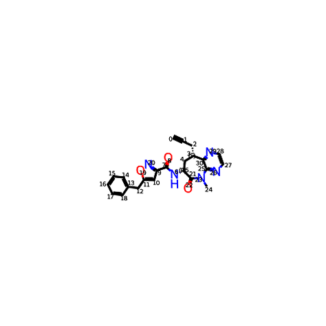 C#CC[C@H]1C[C@@H](NC(=O)c2cc(Cc3ccccc3)on2)C(=O)N(C)c2nccnc21